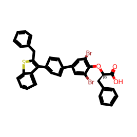 O=C(O)[C@@H](Cc1ccccc1)Oc1c(Br)cc(-c2ccc(-c3c(Cc4ccccc4)sc4ccccc34)cc2)cc1Br